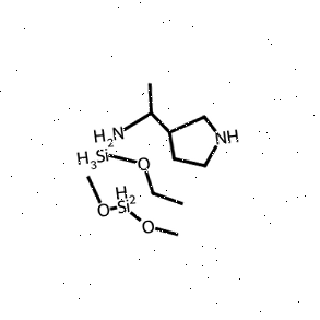 CC(N)C1CCNC1.CCO[SiH3].CO[SiH2]OC